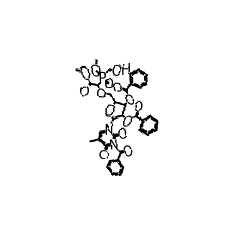 COC(=O)C(OCC1OC(n2cc(C)c(=O)n(C(=O)c3ccccc3)c2=O)C(OC(=O)c2ccccc2)C1OC(=O)c1ccccc1)P(=O)(CO)OC